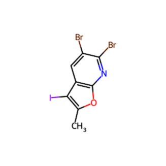 Cc1oc2nc(Br)c(Br)cc2c1I